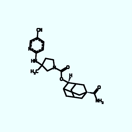 CC1(Nc2ccc(C#N)cn2)CCN(C(=O)O[C@H]2C3CC4CC2C[C@](C(N)=O)(C4)C3)C1